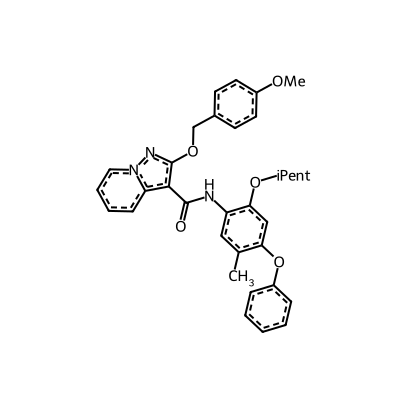 CCCC(C)Oc1cc(Oc2ccccc2)c(C)cc1NC(=O)c1c(OCc2ccc(OC)cc2)nn2ccccc12